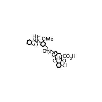 COc1cc(CC(=O)N(C)Cc2cc(CC(NC(=O)c3c(Cl)cccc3Cl)C(=O)O)co2)ccc1NC(=O)Nc1ccccc1C